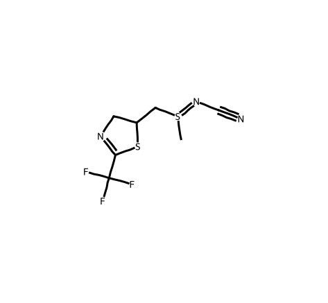 C/S(CC1CN=C(C(F)(F)F)S1)=N\C#N